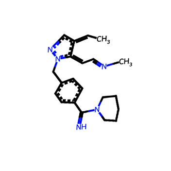 C/C=c1/cnn(Cc2ccc(C(=N)N3CCCCC3)cc2)/c1=C/C=N/C